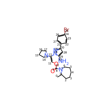 CC1CCCCCN1C(=O)O/C=C(/N1CCCC1)n1nc(-c2ccc(Br)cc2)cc1N